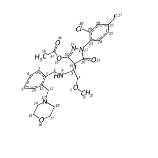 COC/C(NCc1ccccc1CN1CCOCC1)=C1\C(=O)N(c2ccc(F)cc2Cl)N=C1OC(C)=O